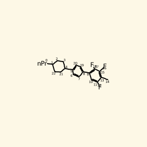 CCCC1CCC(c2ccc(-c3cc(F)c(C)c(F)c3F)cc2)CC1